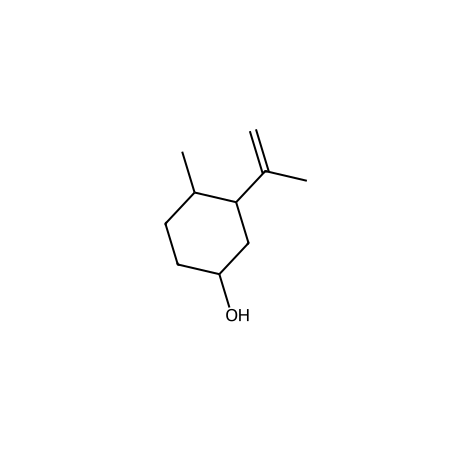 C=C(C)C1CC(O)CCC1C